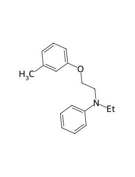 CCN(CCOc1cccc(C)c1)c1ccccc1